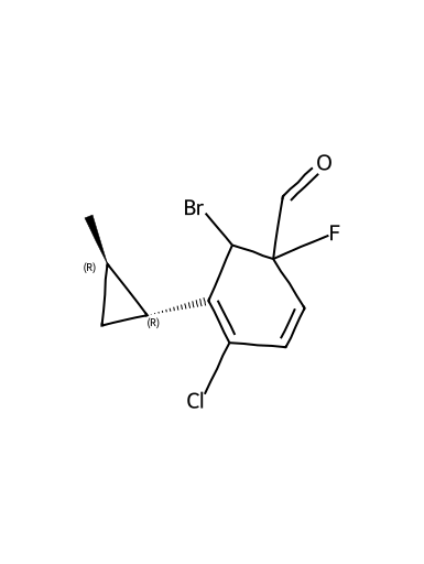 C[C@@H]1C[C@H]1C1=C(Cl)C=CC(F)(C=O)C1Br